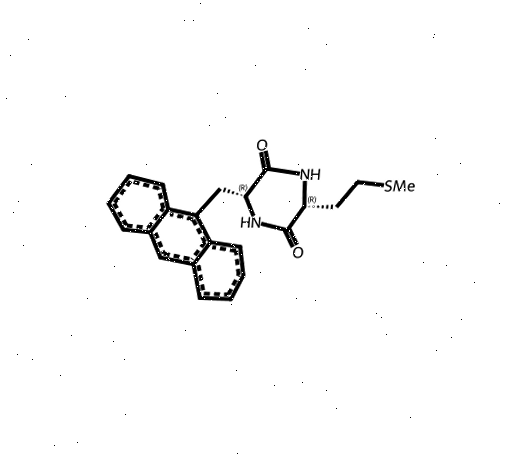 CSCC[C@H]1NC(=O)[C@@H](Cc2c3ccccc3cc3ccccc23)NC1=O